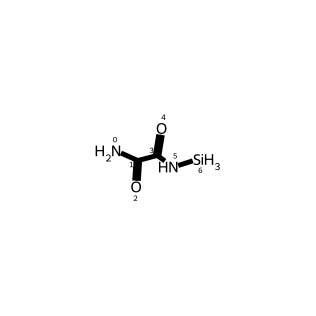 NC(=O)C(=O)N[SiH3]